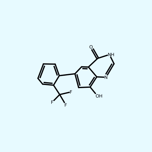 O=c1[nH]cnc2c(O)cc(-c3ccccc3C(F)(F)F)cc12